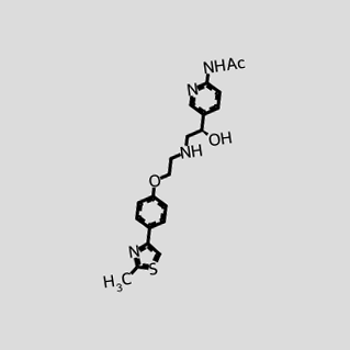 CC(=O)Nc1ccc([C@@H](O)CNCCOc2ccc(-c3csc(C)n3)cc2)cn1